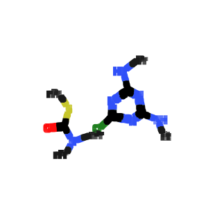 CCCSC(=O)N(CCC)CCC.CCNc1nc(Cl)nc(NC(C)C)n1